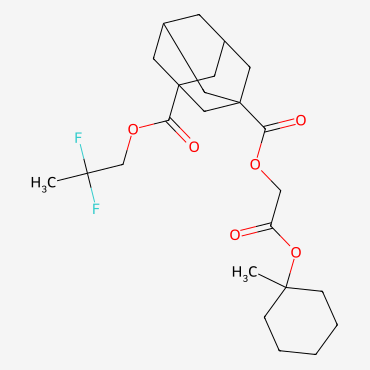 CC(F)(F)COC(=O)C12CC3CC(CC(C(=O)OCC(=O)OC4(C)CCCCC4)(C3)C1)C2